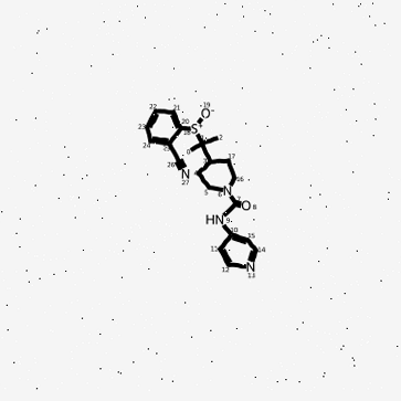 CC(C)(C1CCN(C(=O)Nc2ccncc2)CC1)[S+]([O-])c1ccccc1C#N